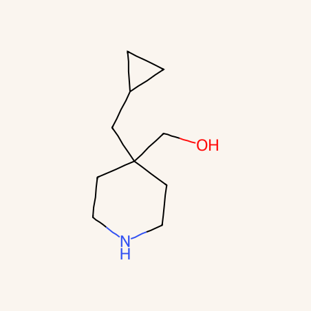 OCC1(CC2CC2)CCNCC1